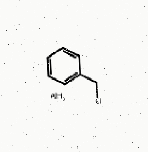 ClCc1ccccc1.[AlH3]